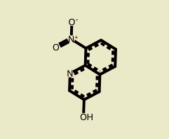 O=[N+]([O-])c1cccc2cc(O)cnc12